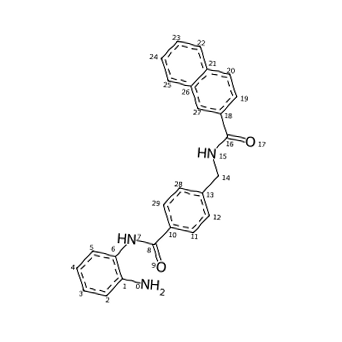 Nc1ccccc1NC(=O)c1ccc(CNC(=O)c2ccc3ccccc3c2)cc1